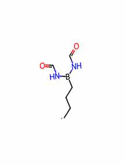 [CH2]CCCB(NC=O)NC=O